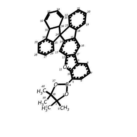 CC1(C)OB(c2cccc3c2oc2cc4c(cc23)-c2ccccc2C42c3ccccc3C3C=CC=CC32)OC1(C)C